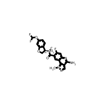 CN(C(=O)c1cc2c(cc1F)nc(N)c1cnn(C)c12)[C@H]1COc2cc(OC(F)F)ccc21